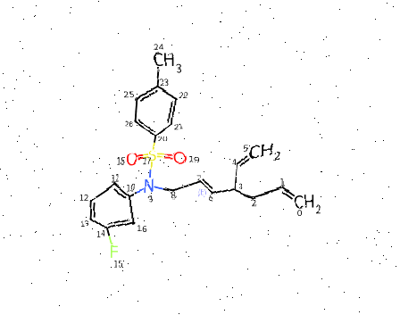 C=CCC(C=C)/C=C/CN(c1cccc(F)c1)S(=O)(=O)c1ccc(C)cc1